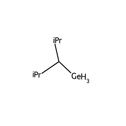 CC(C)[CH]([GeH3])C(C)C